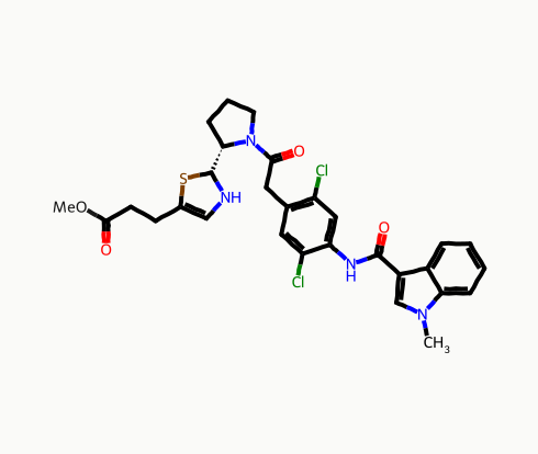 COC(=O)CCC1=CNC([C@@H]2CCCN2C(=O)Cc2cc(Cl)c(NC(=O)c3cn(C)c4ccccc34)cc2Cl)S1